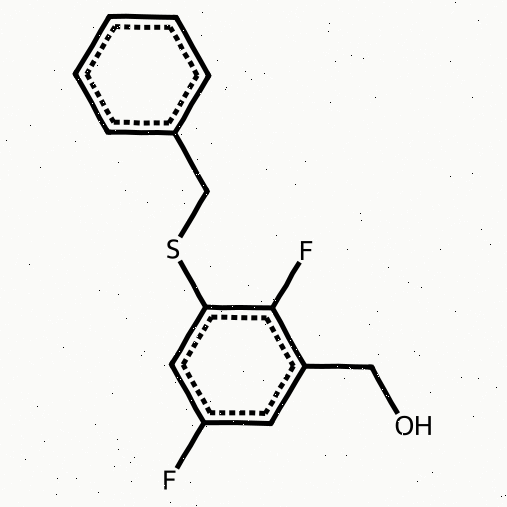 OCc1cc(F)cc(SCc2ccccc2)c1F